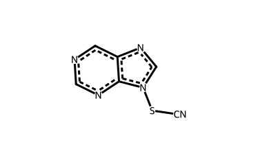 N#CSn1cnc2cncnc21